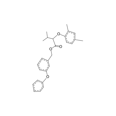 Cc1ccc(OC(C(=O)OCc2cccc(Oc3ccccc3)c2)C(C)C)c(C)c1